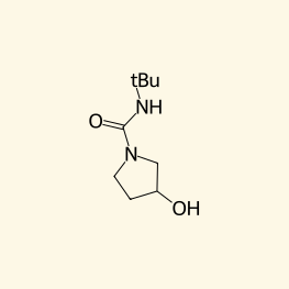 CC(C)(C)NC(=O)N1CCC(O)C1